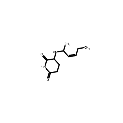 CC/C=C\C(C)NC1CCC(=O)NC1=O